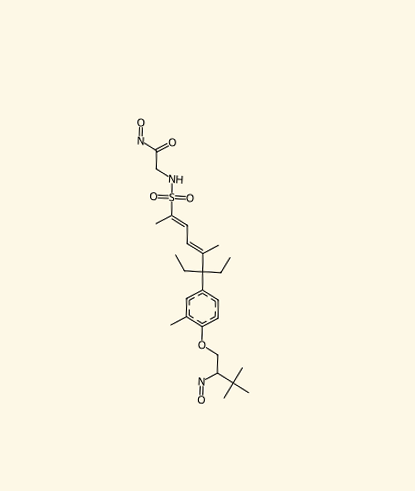 CCC(CC)(/C(C)=C/C=C(\C)S(=O)(=O)NCC(=O)N=O)c1ccc(OCC(N=O)C(C)(C)C)c(C)c1